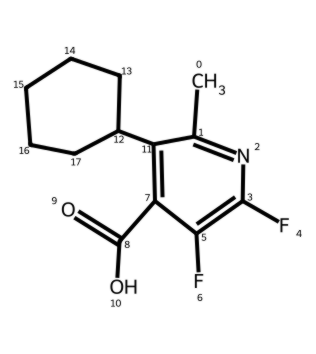 Cc1nc(F)c(F)c(C(=O)O)c1C1CCCCC1